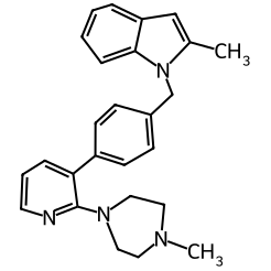 Cc1cc2ccccc2n1Cc1ccc(-c2cccnc2N2CCN(C)CC2)cc1